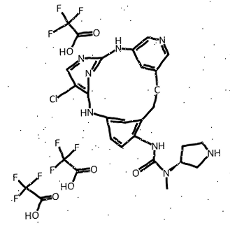 CN(C(=O)Nc1ccc2cc1CCc1cncc(c1)Nc1ncc(Cl)c(n1)N2)[C@H]1CCNC1.O=C(O)C(F)(F)F.O=C(O)C(F)(F)F.O=C(O)C(F)(F)F